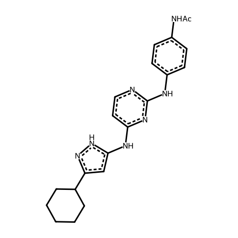 CC(=O)Nc1ccc(Nc2nccc(Nc3cc(C4CCCCC4)n[nH]3)n2)cc1